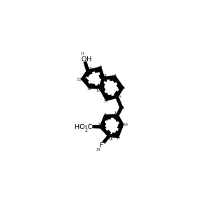 O=C(O)c1cc(Cc2ccc3cc(O)ccc3c2)ccc1F